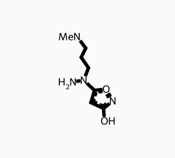 CNCCCN(N)c1cc(O)no1